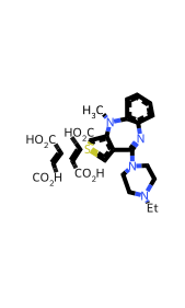 CCN1CCN(C2=Nc3ccccc3N(C)c3cscc32)CC1.O=C(O)C=CC(=O)O.O=C(O)C=CC(=O)O